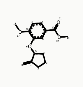 C=C1CCCC1Oc1cc(C(=O)OC)ccc1OC